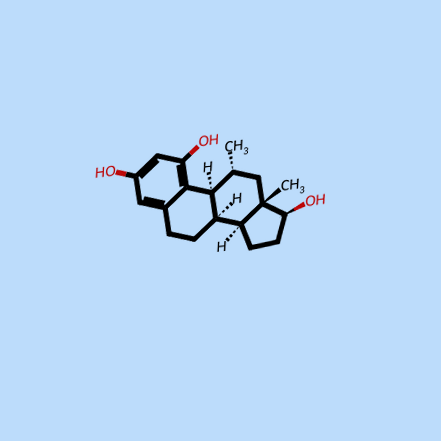 C[C@@H]1C[C@]2(C)[C@@H](O)CC[C@H]2[C@H]2CCc3cc(O)cc(O)c3[C@H]21